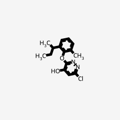 CCC(C)c1cccc(C)c1Oc1nnc(Cl)cc1O